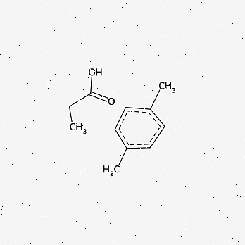 CCC(=O)O.Cc1ccc(C)cc1